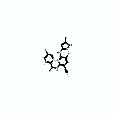 Cc1cc(Nc2nc(NC(C)c3ncc(F)cn3)c(C#N)cc2Cl)n[nH]1